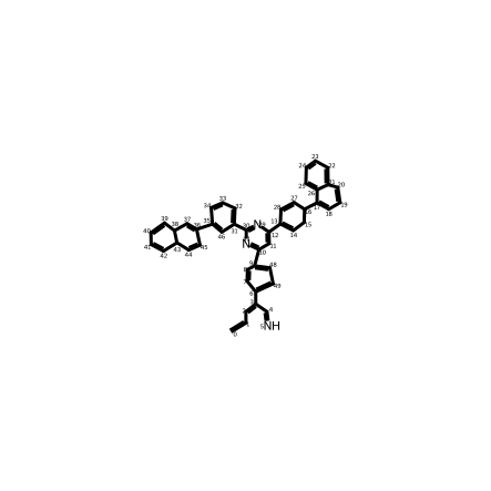 C=C/C=C(\C=N)c1ccc(-c2cc(C3=CCC(c4cccc5ccccc45)C=C3)nc(-c3cccc(C4=CC5C=CC=CC5C=C4)c3)n2)cc1